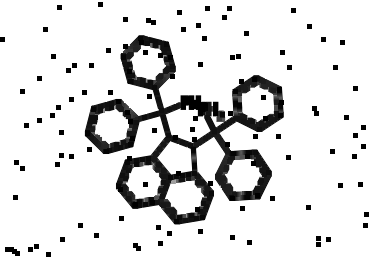 PC(c1ccccc1)(c1ccccc1)C1c2cccc3cccc(c23)C1C(P)(c1ccccc1)c1ccccc1